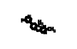 Cc1ncc(CN2CCC(c3cncc(F)c3)CC2)c(C)n1